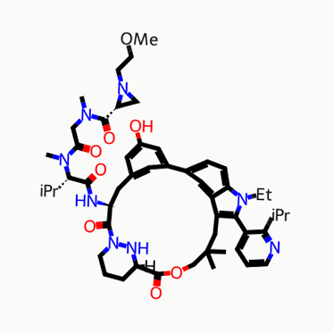 CCn1c(-c2cccnc2C(C)C)c2c3cc(ccc31)-c1cc(O)cc(c1)C[C@H](NC(=O)[C@H](C(C)C)N(C)C(=O)CN(C)C(=O)[C@H]1CN1CCOC)C(=O)N1CCC[C@H](N1)C(=O)OCC(C)(C)C2